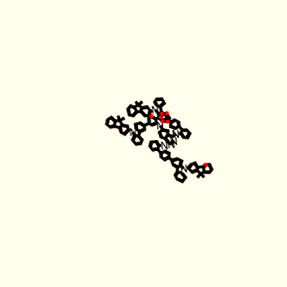 CC1(C)c2ccccc2-c2ccc(-n3c4ccccc4c4cc(-c5ccc6c7ccccc7n(-c7ccc8c(-n9c%10ccccc%10c%10ccc(-c%11ccc%12c(c%11)c%11ccccc%11n%12-c%11ccc%12c(c%11)C(C)(C)c%11ccccc%11-%12)cc%109)nnc(-n9c%10ccccc%10c%10ccc(-c%11ccc%12c(c%11)c%11ccccc%11n%12-c%11ccc%12c(c%11)C(C)(C)c%11ccccc%11-%12)cc%109)c8c7)c6c5)ccc43)cc21